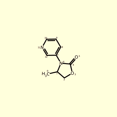 CC1COC(=O)N1c1cccnc1